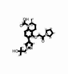 C[C@H]1CCc2c(ccc(-c3cnn(CC(C)(C)O)c3)c2OCC(=O)N2CCCC2)N1C(=O)O